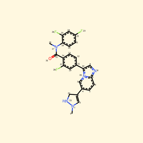 CN1C=C(c2ccc3ncc(-c4ccc(C(=O)N(C)c5ccc(F)cc5F)c(F)c4)n3c2)CN1